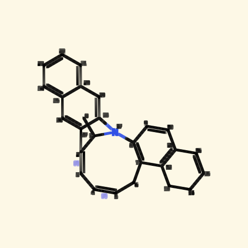 CC1/C2=C\C=C/Cc3c(ccc4c3CCC=C4)N1c1cc3ccccc3cc12